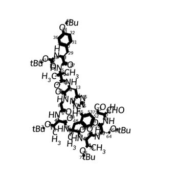 C[C@@H](OC(C)(C)C)[C@H](NC(=O)CNC(=O)[C@H](Cc1nn[nH]n1)NC(=O)C(C)(C)NC(=O)[C@H](Cc1ccc(OC(C)(C)C)cc1)NC(=O)OC(C)(C)C)C(=O)N[C@@](C)(Cc1ccccc1F)C(=O)N[C@H](C(=O)N[C@@H](COC(C)(C)C)C(=O)NC(C=O)CC(=O)O)[C@@H](C)OC(C)(C)C